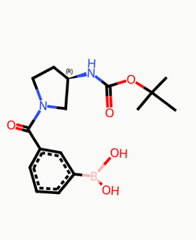 CC(C)(C)OC(=O)N[C@@H]1CCN(C(=O)c2cccc(B(O)O)c2)C1